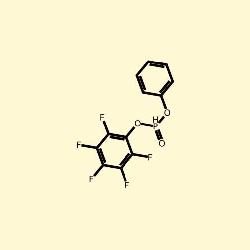 O=[PH](Oc1ccccc1)Oc1c(F)c(F)c(F)c(F)c1F